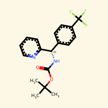 CC(C)(C)OC(=O)N[C@@H](c1ccc(C(F)(F)F)cc1)c1ccccn1